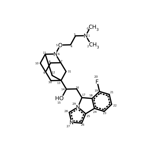 CN(C)CCON1C2CC3CC1CC(C(O)CC1c4c(F)cccc4-c4cncn41)(C3)C2